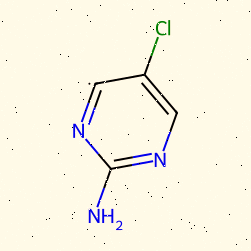 Nc1n[c]c(Cl)cn1